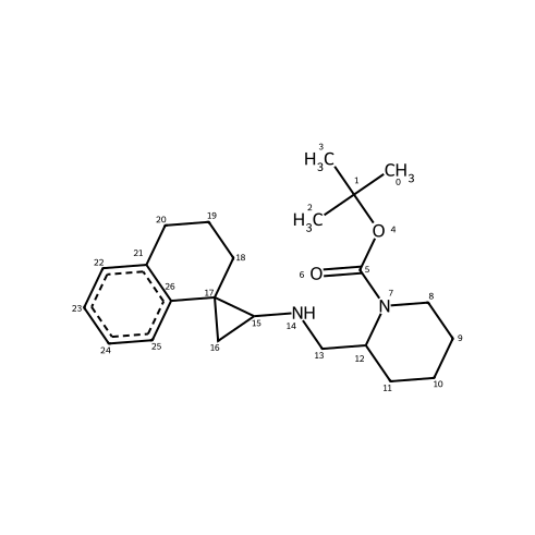 CC(C)(C)OC(=O)N1CCCCC1CNC1CC12CCCc1ccccc12